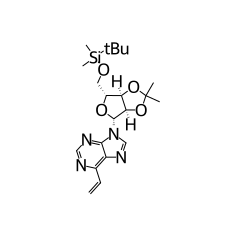 C=Cc1ncnc2c1ncn2[C@@H]1O[C@H](CO[Si](C)(C)C(C)(C)C)[C@H]2OC(C)(C)O[C@H]21